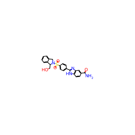 NC(=O)c1ccc2[nH]c(-c3ccc(S(=O)(=O)N4Cc5ccccc5C4CO)cc3)nc2c1